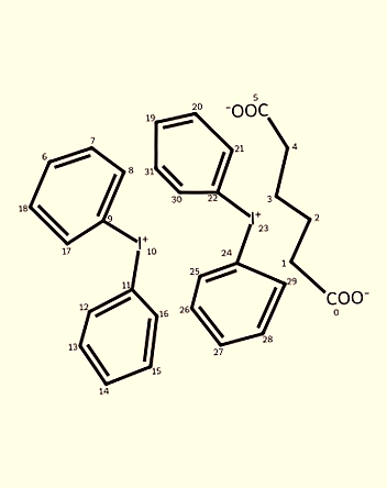 O=C([O-])CCCCC(=O)[O-].c1ccc([I+]c2ccccc2)cc1.c1ccc([I+]c2ccccc2)cc1